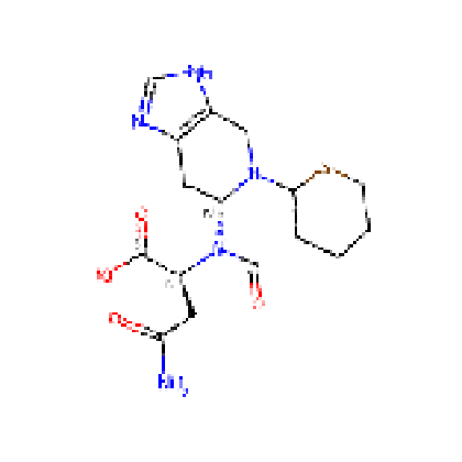 NC(=O)C[C@@H](C(=O)O)N(C=O)[C@@H]1Cc2nc[nH]c2CN1C1CCCCS1